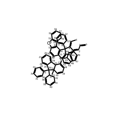 C=C/C=C1\C(=C/C)C(c2ccccc2)(c2c(N(C3=CC=CC4(C)C3c3ccccc3C4(c3ccccc3)C3C=CC=CC3)C3C=CC=CC3)ccc3oc4c(c23)CCC=C4)c2ccccc21